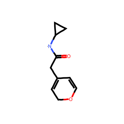 O=C(CC1=CCOC=C1)[N]C1CC1